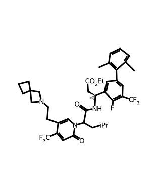 CCOC(=O)C[C@H](NC(=O)C(CC(C)C)n1cc(CCN2CC3(CCC3)C2)c(C(F)(F)F)cc1=O)c1cc(-c2c(C)cccc2C)cc(C(F)(F)F)c1F